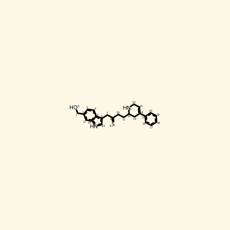 OCc1ccc2c(CC(=S)CCC3CC(c4ccccc4)=CCN3)c[nH]c2c1